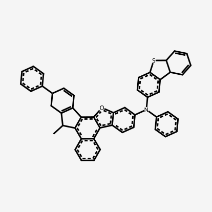 CC1C2=C(C=CC(c3ccccc3)C2)c2c1c1ccccc1c1c2oc2cc(N(c3ccccc3)c3ccc4c(c3)C3C=CC=CC3S4)ccc21